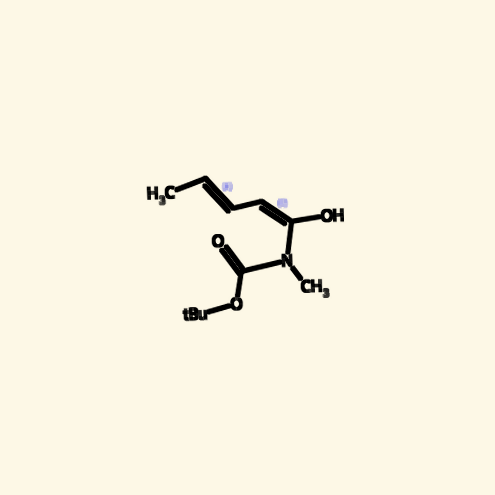 C/C=C/C=C(/O)N(C)C(=O)OC(C)(C)C